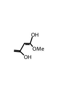 C=C(O)/C=C(/O)OC